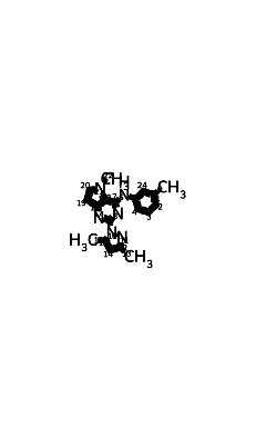 Cc1cccc(Nc2nc(-n3nc(C)cc3C)nc3ccn(C)c23)c1